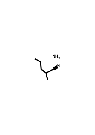 CCCC(C)C#N.N